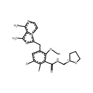 Cc1nc(Cc2cc(Cl)c(F)c(C(=O)NC[C@H]3CCCO3)c2OC(C)C)n2ccnc(N)c12